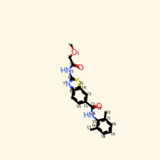 COCC(=O)Nc1nc2ccc(C(=O)Nc3c(C)cccc3C)cc2s1